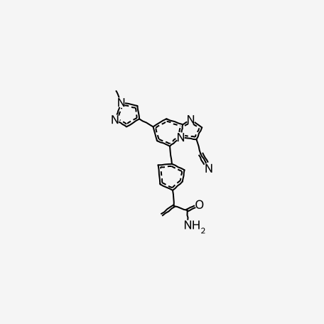 C=C(C(N)=O)c1ccc(-c2cc(-c3cnn(C)c3)cc3ncc(C#N)n23)cc1